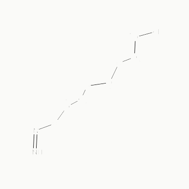 N=NOOOOOOOOCl